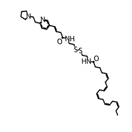 CC/C=C\C/C=C\C/C=C\C/C=C\C/C=C\CCCC(=O)NCCSSCCNC(=O)C/C=C/c1ccc(CCN2CCCC2)nc1